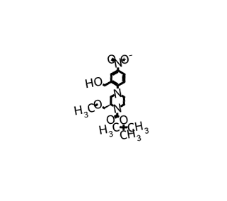 COC[C@H]1CN(c2ccc([N+](=O)[O-])cc2CO)CCN1C(=O)OC(C)(C)C